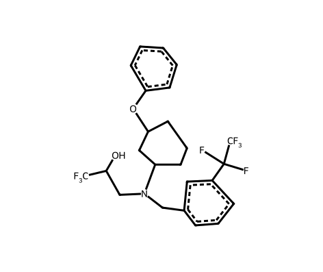 OC(CN(Cc1cccc(C(F)(F)C(F)(F)F)c1)C1CCCC(Oc2ccccc2)C1)C(F)(F)F